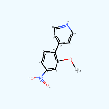 COc1cc([N+](=O)[O-])ccc1-c1ccncc1